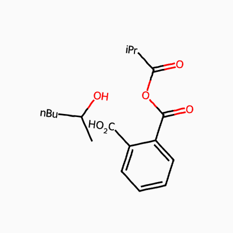 CC(C)C(=O)OC(=O)c1ccccc1C(=O)O.CCCCC(C)O